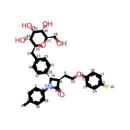 Cc1ccc(N2C(=O)[C@H](CCOc3ccc(F)cc3)[C@H]2c2ccc(C[C@@H]3O[C@H](CO)[C@@H](O)[C@H](O)[C@H]3O)cc2)cc1